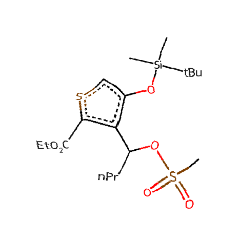 CCCC(OS(C)(=O)=O)c1c(O[Si](C)(C)C(C)(C)C)csc1C(=O)OCC